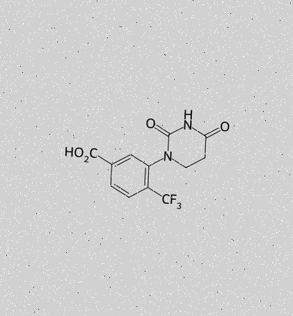 O=C1CCN(c2cc(C(=O)O)ccc2C(F)(F)F)C(=O)N1